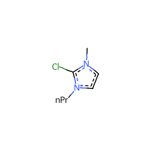 CCC[n+]1ccn(C)c1Cl